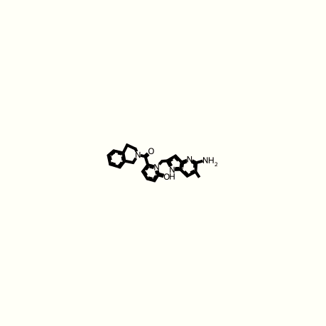 Cc1cc2[nH]c(Cn3c(C(=O)N4CCc5ccccc5C4)cccc3=O)cc2nc1N